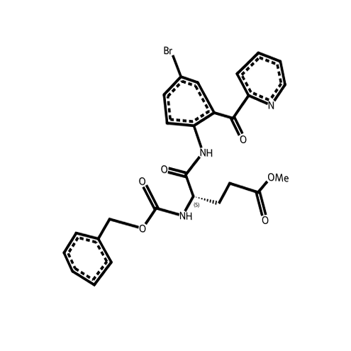 COC(=O)CC[C@H](NC(=O)OCc1ccccc1)C(=O)Nc1ccc(Br)cc1C(=O)c1ccccn1